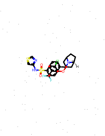 O=S(=O)(Nc1cscn1)c1ccc(OC2CC3CC[C@@H](C2)N3Cc2cccc(C(F)F)c2)c(Cl)c1